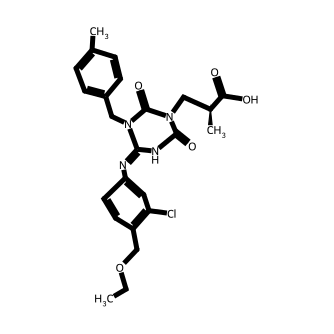 CCOCc1ccc(/N=c2\[nH]c(=O)n(C[C@H](C)C(=O)O)c(=O)n2Cc2ccc(C)cc2)cc1Cl